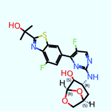 CC(C)(O)c1nc2c(F)cc(-c3nc(N[C@@H]4C[C@H]5CO[C@H](O5)[C@H]4O)ncc3F)cc2s1